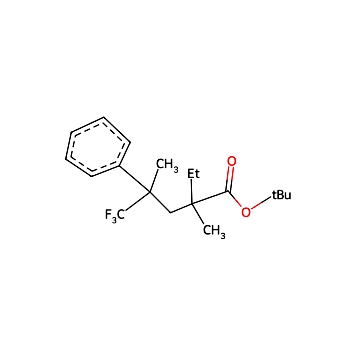 CCC(C)(CC(C)(c1ccccc1)C(F)(F)F)C(=O)OC(C)(C)C